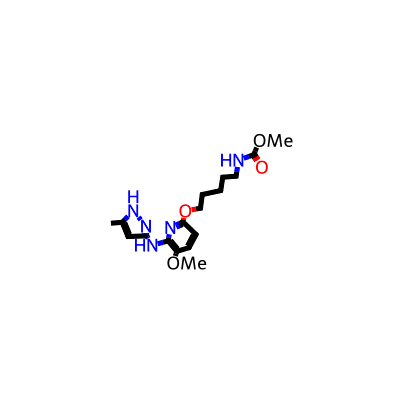 COC(=O)NCCCCCOc1ccc(OC)c(Nc2cc(C)[nH]n2)n1